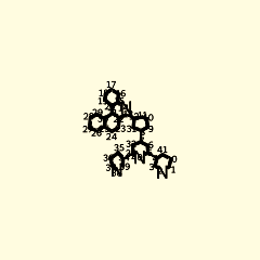 c1cncc(-c2cc(-c3cccc(-c4nc5ccccc5c5c4ccc4ccccc45)c3)cc(-c3cccnc3)n2)c1